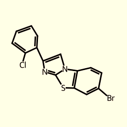 Clc1ccccc1-c1cn2c(n1)sc1cc(Br)ccc12